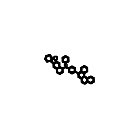 c1ccc(N(c2ccc(-c3cc4ccc5ccccc5c4c4ccccc34)cc2)c2cccc3cc4c(cc23)oc2ccccc24)cc1